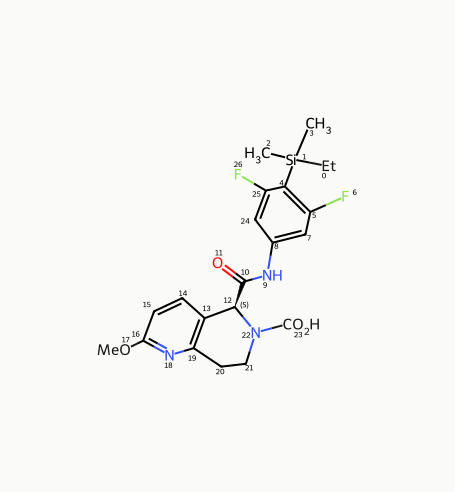 CC[Si](C)(C)c1c(F)cc(NC(=O)[C@@H]2c3ccc(OC)nc3CCN2C(=O)O)cc1F